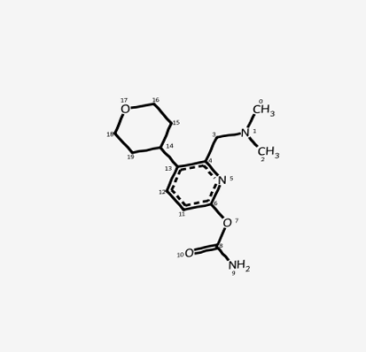 CN(C)Cc1nc(OC(N)=O)ccc1C1CCOCC1